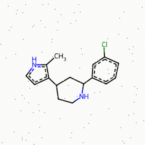 Cc1[nH]ccc1C1CCNC(c2cccc(Cl)c2)C1